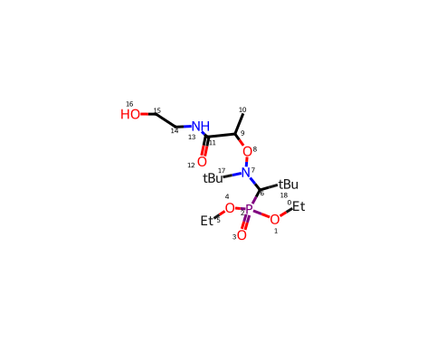 CCOP(=O)(OCC)C(N(OC(C)C(=O)NCCO)C(C)(C)C)C(C)(C)C